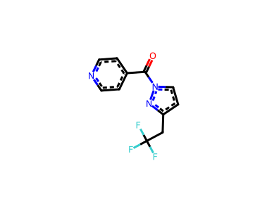 O=C(c1ccncc1)n1ccc(CC(F)(F)F)n1